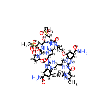 CCn1nc(C)cc1C(=O)Nc1nc2cc(C(N)=O)cc(OC)c2n1C/C=C/Cn1c(NC(=O)c2cc(C)nn2CC)nc2cc(C(N)=O)cc(OCCCNC(=O)[C@H](CCS(C)(=O)=O)NC(=O)[C@H](CCS(C)(=O)=O)NC(=O)CN3C(=O)C=CC3=O)c21